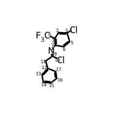 FC(F)(F)c1cc(Cl)ccc1N=C(Cl)Cc1ccccc1